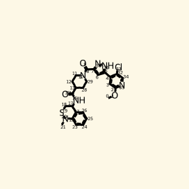 COc1cc(-c2cc(C(=O)N3CCC(C(=O)NC4CSN(C)c5ccccc54)CC3)n[nH]2)c(Cl)cn1